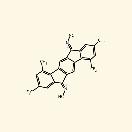 [C-]#[N+]/N=c1/c2cc3c(cc2c2c(C(F)(F)F)cc(C)cc12)/c(=N/C#N)c1cc(C(F)(F)F)cc(C)c13